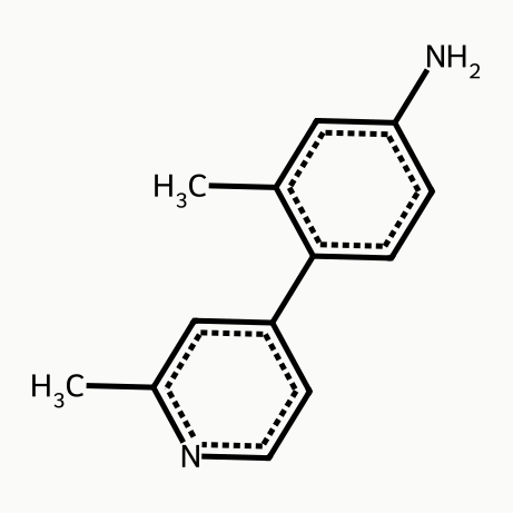 Cc1cc(-c2ccc(N)cc2C)ccn1